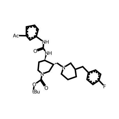 CC(=O)c1cccc(NC(=O)N[C@@H]2CCN(C(=O)OC(C)(C)C)C[C@H]2CN2CCCC(Cc3ccc(F)cc3)C2)c1